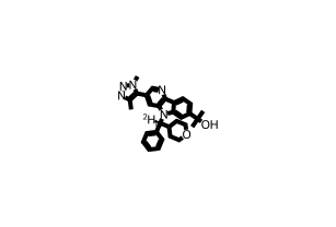 [2H][C@](c1ccccc1)(C1CCOCC1)n1c2cc(C(C)(C)O)ccc2c2ncc(-c3c(C)nnn3C)cc21